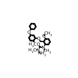 COc1cccc(N(C)C(=O)N(C)N)c1COc1cc(Oc2ccccc2)ccc1C